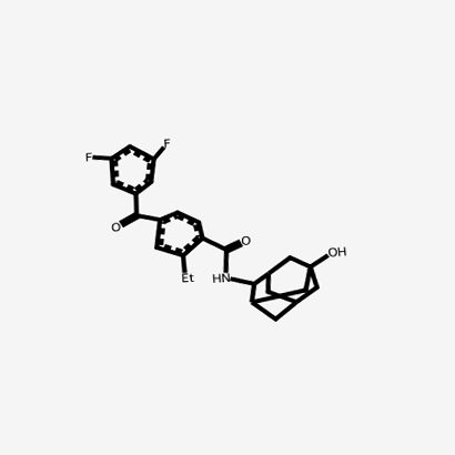 CCc1cc(C(=O)c2cc(F)cc(F)c2)ccc1C(=O)NC1C2CC3CC1CC(O)(C3)C2